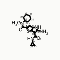 CN(C(=O)c1cc2[nH]c(N)c(C(=O)NC3CC3)c2s1)C1CCCCC1